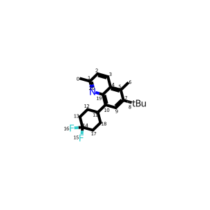 Cc1ccc2c(C)c(C(C)(C)C)cc(C3CCC(F)(F)CC3)c2n1